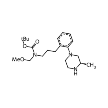 COCN(CCCc1ccccc1N1CCN[C@H](C)C1)C(=O)OC(C)(C)C